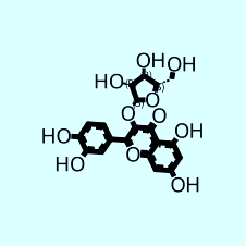 O=c1c(O[C@@H]2O[C@@H](CO)[C@H](O)[C@H]2O)c(-c2ccc(O)c(O)c2)oc2cc(O)cc(O)c12